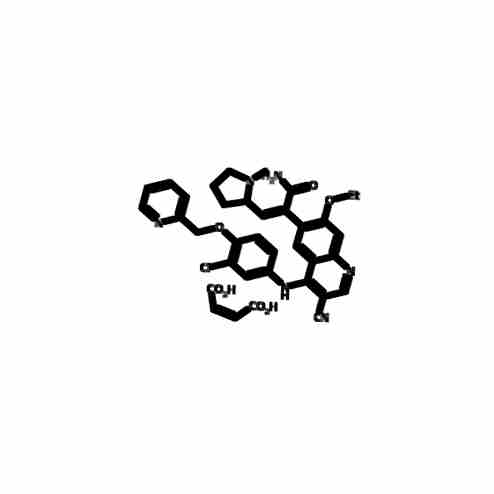 CCOc1cc2ncc(C#N)c(Nc3ccc(OCc4ccccn4)c(Cl)c3)c2cc1C(=CC1CCCN1C)C(N)=O.O=C(O)/C=C\C(=O)O